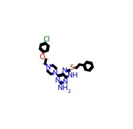 Nc1nc(N2CCN([CH][CH]Oc3ccc(Cl)cc3)CC2)c2nc(SCCc3ccccc3)[nH]c2n1